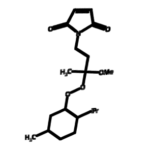 COC(C)(CCN1C(=O)C=CC1=O)OOC1CC(C)CCC1C(C)C